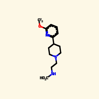 O=C(O)NCCN1CCC(c2cccc(OC(F)(F)F)n2)CC1